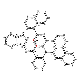 c1ccc(N(c2ccc(-c3cccc4ccccc34)cc2)c2cc3ccccc3c3ccccc23)c(-c2ccc3oc4ccccc4c3c2)c1